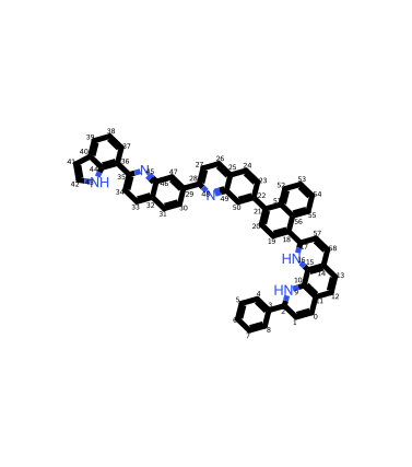 C1=CC(c2ccccc2)Nc2c1ccc1c2NC(c2ccc(-c3ccc4ccc(-c5ccc6ccc(-c7cccc8cc[nH]c78)nc6c5)nc4c3)c3ccccc23)C=C1